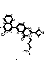 CN(C)CCCn1c(C2CNC2)nc2ccc(-c3cc(O)cc4ccccc34)cc2c1=O